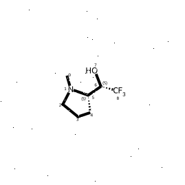 CN1CCC[C@H]1[C@H](O)C(F)(F)F